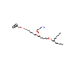 CCCCCCC(CCCCCC)CCOC(=O)CCCCCCCC(CCCCCCCCOC(=O)CC12C3C4C5C3C1C5C42)OC(=O)CCCN(C)C